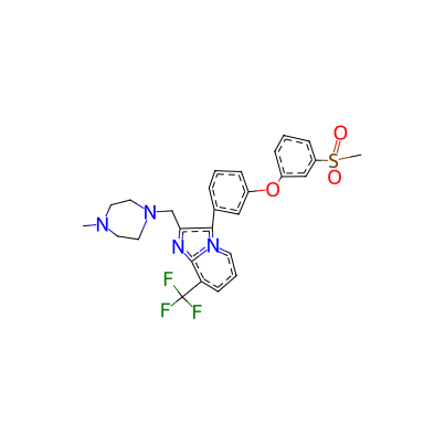 CN1CCN(Cc2nc3c(C(F)(F)F)cccn3c2-c2cccc(Oc3cccc(S(C)(=O)=O)c3)c2)CC1